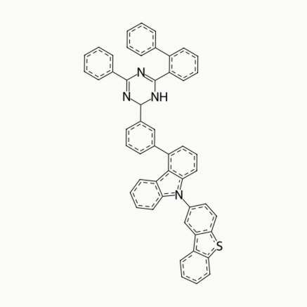 c1ccc(C2=NC(c3cccc(-c4cccc5c4c4ccccc4n5-c4ccc5sc6ccccc6c5c4)c3)NC(c3ccccc3-c3ccccc3)=N2)cc1